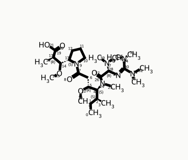 CC[C@H](C)[C@@H]([C@@H](CC(=O)N1CCC[C@H]1C(OC)[C@@H](C)C(=O)O)OC)N(C)C(=O)[C@@H](N=C(N(C)C)N(C)C)N(C)C